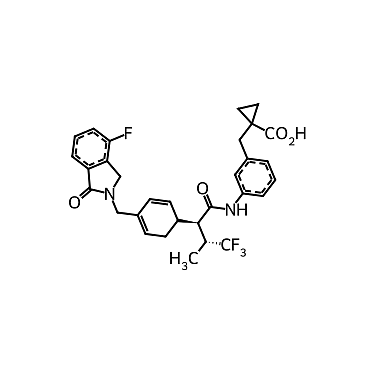 C[C@H]([C@H](C(=O)Nc1cccc(CC2(C(=O)O)CC2)c1)C1C=CC(CN2Cc3c(F)cccc3C2=O)=CC1)C(F)(F)F